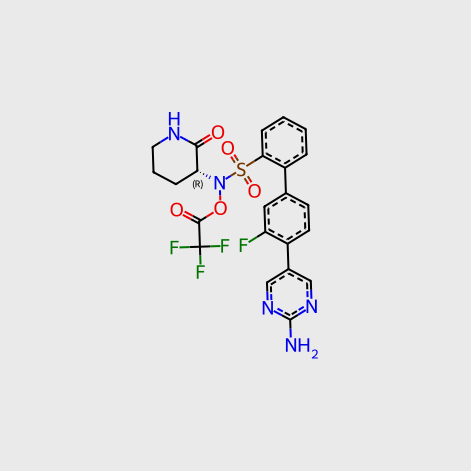 Nc1ncc(-c2ccc(-c3ccccc3S(=O)(=O)N(OC(=O)C(F)(F)F)[C@@H]3CCCNC3=O)cc2F)cn1